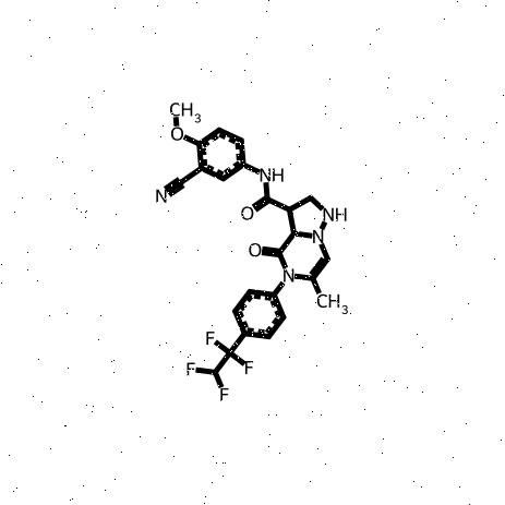 COc1ccc(NC(=O)C2CNN3C=C(C)N(c4ccc(C(F)(F)C(F)F)cc4)C(=O)C23)cc1C#N